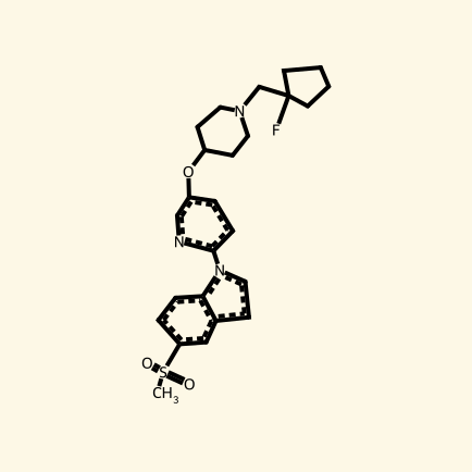 CS(=O)(=O)c1ccc2c(ccn2-c2ccc(OC3CCN(CC4(F)CCCC4)CC3)cn2)c1